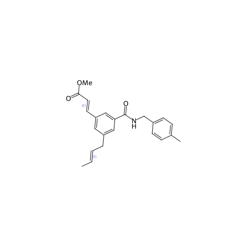 C/C=C/Cc1cc(/C=C/C(=O)OC)cc(C(=O)NCc2ccc(C)cc2)c1